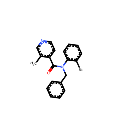 CCc1ccccc1N(Cc1ccccc1)C(=O)c1ccncc1C